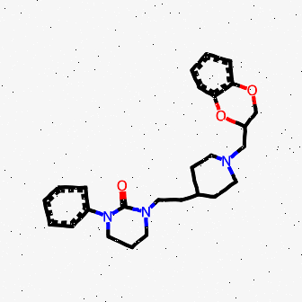 O=C1N(CCC2CCN(CC3COc4ccccc4O3)CC2)CCCN1c1ccccc1